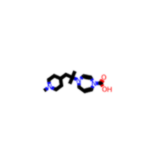 CN1CCC(CC(C)(C)N2C=CN(C(=O)O)C=CC2)CC1